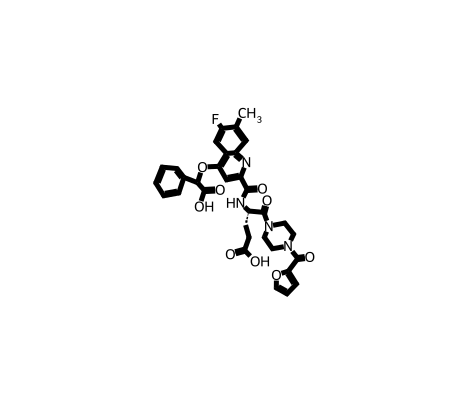 Cc1cc2nc(C(=O)N[C@@H](CCC(=O)O)C(=O)N3CCN(C(=O)c4ccco4)CC3)cc(OC(C(=O)O)c3ccccc3)c2cc1F